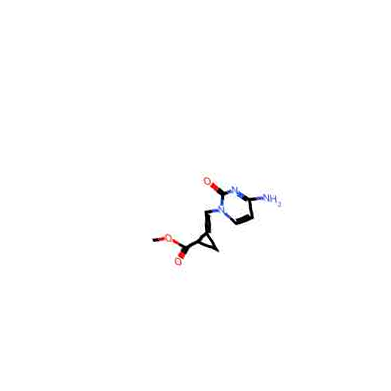 COC(=O)C1C/C1=C\n1ccc(N)nc1=O